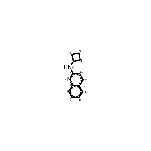 c1ccc2nc(NC3CCC3)ccc2c1